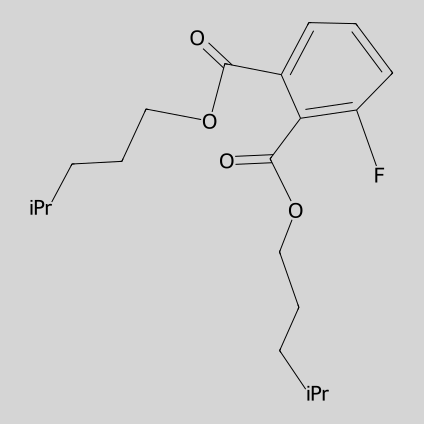 CC(C)CCCOC(=O)c1cccc(F)c1C(=O)OCCCC(C)C